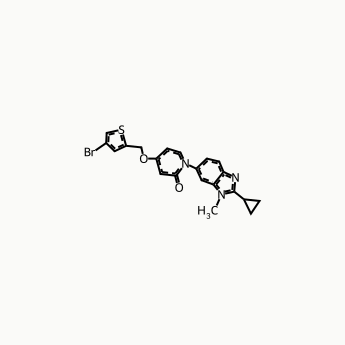 Cn1c(C2CC2)nc2ccc(-n3ccc(OCc4cc(Br)cs4)cc3=O)cc21